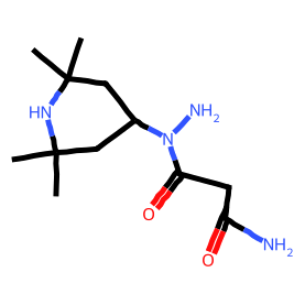 CC1(C)CC(N(N)C(=O)CC(N)=O)CC(C)(C)N1